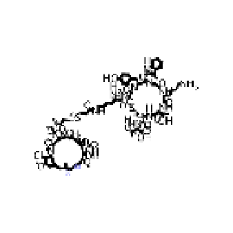 COc1cc2cc(c1Cl)N(C)C(=O)C[C@H](OC(=O)[C@H](C)N(C)C(=O)CCSSCCC(=O)NCCCC[C@@H](N)C(=O)N[C@H]1CSSC[C@@H](C(=O)N[C@H](C(=O)O)[C@@H](C)O)NC(=O)[C@H]([C@@H](C)O)NC(=O)[C@H](CCCCN)NC(=O)[C@@H](Cc3c[nH]c4ccccc34)NC(=O)[C@H](Cc3ccc(O)cc3)NC1=O)[C@]1(C)O[C@H]1[C@H](C)[C@@H]1C[C@@](O)(NC(=O)O1)[C@H](OC)/C=C/C=C(\C)C2